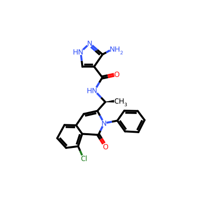 C[C@H](NC(=O)c1c[nH]nc1N)c1cc2cccc(Cl)c2c(=O)n1-c1ccccc1